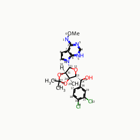 CON=c1nc[nH]c2c1ccn2[C@@H]1O[C@H](C(O)c2ccc(Cl)c(Cl)c2)[C@@]2(C)OC(C)(C)O[C@@H]12